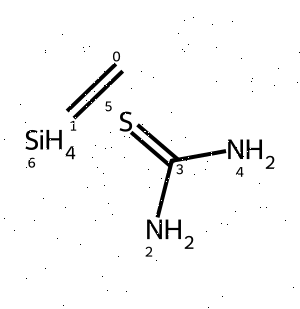 C=C.NC(N)=S.[SiH4]